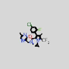 Cc1cnc(CN(C)C(=O)c2c(-c3ccc(Cl)cc3F)c(C)c(C(F)(F)F)n2C2CC2)cn1